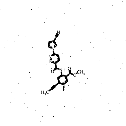 CC#Cc1cc(NC(=O)c2ccc(-n3ccc(C#N)c3)nn2)c(C(=O)OC)cc1F